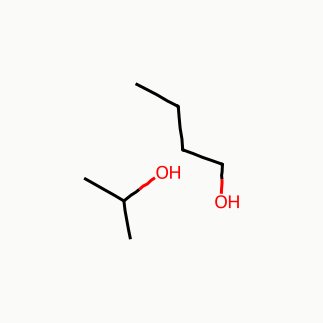 CC(C)O.CCCCO